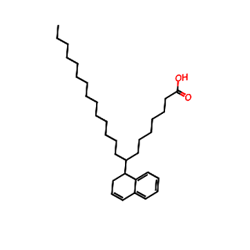 CCCCCCCCCCCCCCC(CCCCCCC(=O)O)C1CC=Cc2ccccc21